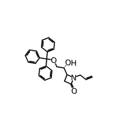 C=CCN1C(=O)CC1[C@@H](O)COC(c1ccccc1)(c1ccccc1)c1ccccc1